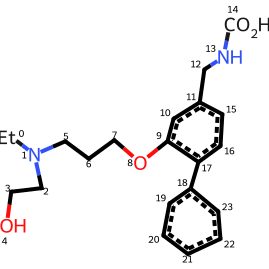 CCN(CCO)CCCOc1cc(CNC(=O)O)ccc1-c1ccccc1